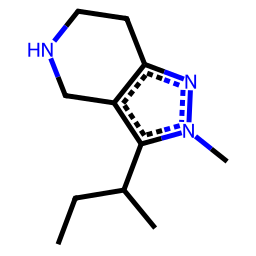 CCC(C)c1c2c(nn1C)CCNC2